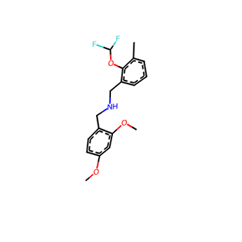 COc1ccc(CNCc2cccc(C)c2OC(F)F)c(OC)c1